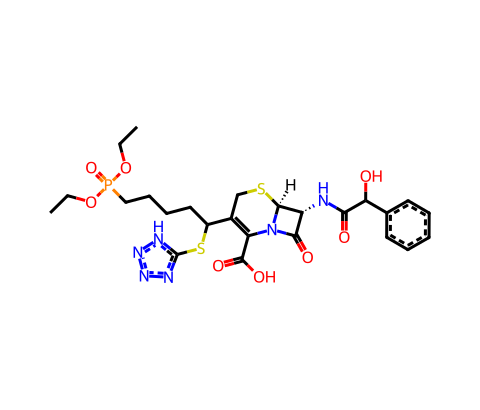 CCOP(=O)(CCCCC(Sc1nnn[nH]1)C1=C(C(=O)O)N2C(=O)[C@@H](NC(=O)C(O)c3ccccc3)[C@@H]2SC1)OCC